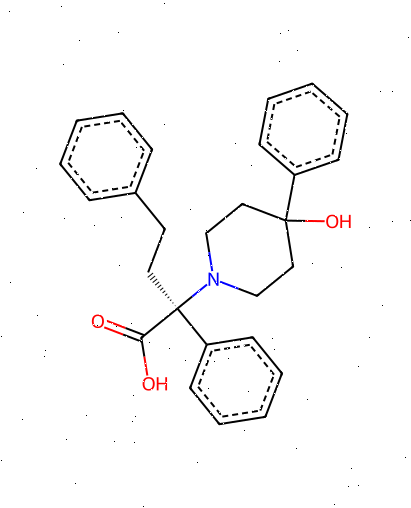 O=C(O)[C@](CCc1ccccc1)(c1ccccc1)N1CCC(O)(c2ccccc2)CC1